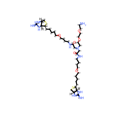 N=C1N[C@H]2[C@H](CS[C@H]2CCCCCOCCCCNC(=O)CN(CCOCCOCCN)CC(=O)NCCCCOCCCCC[C@@H]2SC[C@@H]3NC(=N)N[C@@H]32)N1